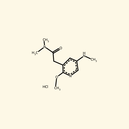 CNc1cnc(OC)c(CC(=O)N(C)C)c1.Cl